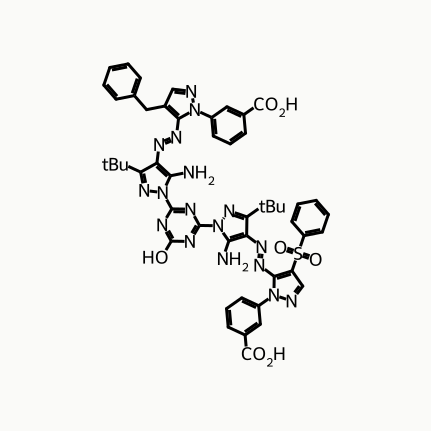 CC(C)(C)c1nn(-c2nc(O)nc(-n3nc(C(C)(C)C)c(N=Nc4c(S(=O)(=O)c5ccccc5)cnn4-c4cccc(C(=O)O)c4)c3N)n2)c(N)c1N=Nc1c(Cc2ccccc2)cnn1-c1cccc(C(=O)O)c1